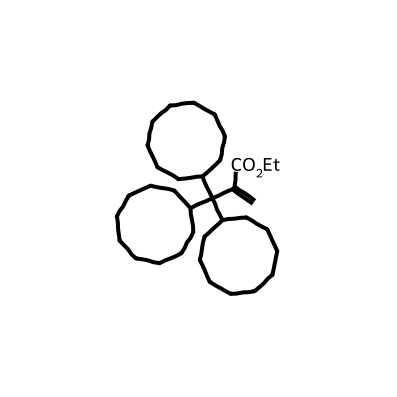 C=C(C(=O)OCC)C(C1CCCCCCCCC1)(C1CCCCCCCCC1)C1CCCCCCCCC1